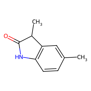 Cc1ccc2c(c1)C(C)C(=O)N2